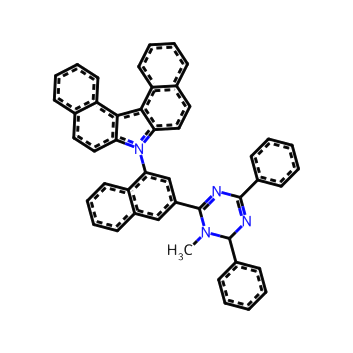 CN1C(c2cc(-n3c4ccc5ccccc5c4c4c5ccccc5ccc43)c3ccccc3c2)=NC(c2ccccc2)=NC1c1ccccc1